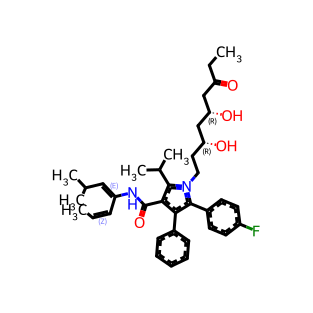 C/C=C\C(=C/C(C)C)NC(=O)c1c(-c2ccccc2)c(-c2ccc(F)cc2)n(CC[C@@H](O)C[C@@H](O)CC(=O)CC)c1C(C)C